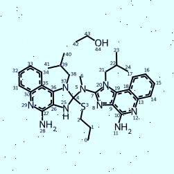 CCCSC1(N(C)c2nc3c(N)nc4ccccc4c3n2CC(C)C)Nc2c(N)nc3ccccc3c2N1CC(C)C.CCO